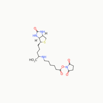 O=C1N[C@H]2[C@H](CS[C@H]2CCCC(NCCCCCC(=O)ON2C(=O)CCC2=O)C(=O)O)N1